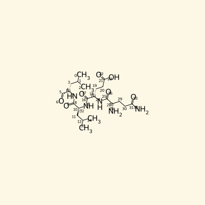 CC(C)C[C@@H]([C]=O)NC(=O)[C@H](CC(C)C)NC(=O)[C@H](CCC(=O)O)NC(=O)[C@@H](N)CCC(N)=O